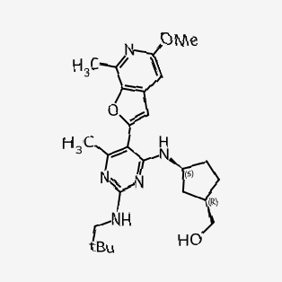 COc1cc2cc(-c3c(C)nc(NCC(C)(C)C)nc3N[C@H]3CC[C@@H](CO)C3)oc2c(C)n1